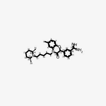 Cc1ccc2c(c1)N(CCCCCN1[C@H](C)CCC[C@@H]1C)C(=O)C(c1cccc(C(=N)N)c1)O2